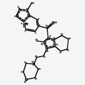 CCC/C=C\C(=C/c1ccsc1C)C(=O)c1c2c(n(CCN3CCOCC3)c1C)CCCC2